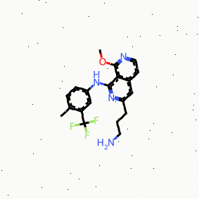 COc1nccc2cc(CCCN)nc(Nc3ccc(C)c(C(F)(F)F)c3)c12